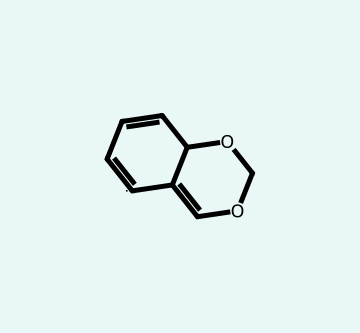 [C]1=CC=CC2OCOC=C12